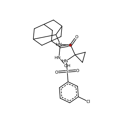 O=C(NO)C12CC3CC(C1)C(NC(=O)C1(NS(=O)(=O)c4cccc(Cl)c4)CC1)C(C3)C2